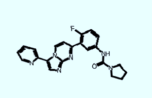 O=C(Nc1ccc(F)c(-c2ccn3c(-c4ccccn4)cnc3n2)c1)N1CCCC1